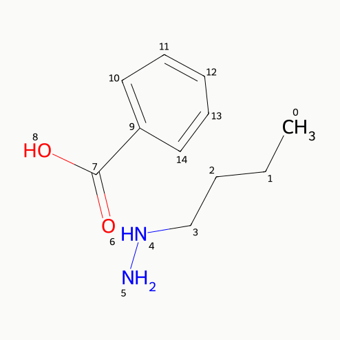 CCCCNN.O=C(O)c1ccccc1